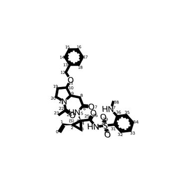 C=C[C@@H]1C[C@]1(NC(=O)CC1C(OCc2ccccc2)CCN1C(C)=O)C(=O)NS(=O)(=O)c1ccccc1NC